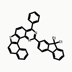 CCC1(CC)c2ccccc2-c2ccc(-c3nc(-c4ccccc4)c4ccc5sc6ccc7ccccc7c6c5c4n3)cc21